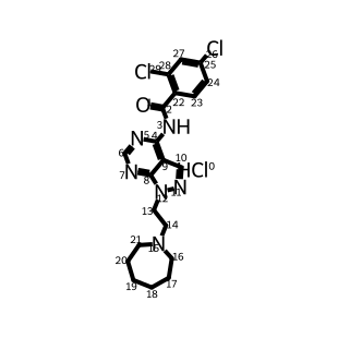 Cl.O=C(Nc1ncnc2c1cnn2CCN1CCCCCC1)c1ccc(Cl)cc1Cl